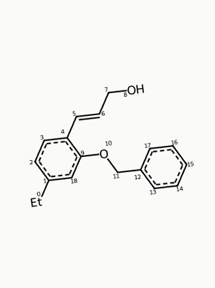 CCc1ccc(/C=C/CO)c(OCc2ccccc2)c1